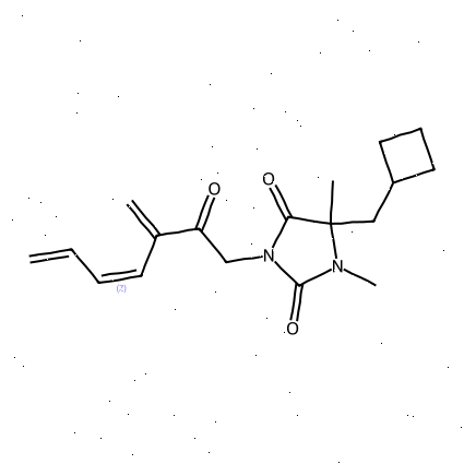 C=C/C=C\C(=C)C(=O)CN1C(=O)N(C)C(C)(CC2CCC2)C1=O